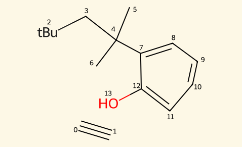 C#C.CC(C)(C)CC(C)(C)c1ccccc1O